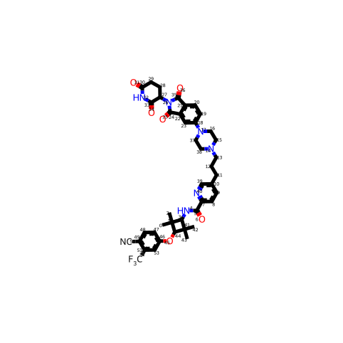 CC1(C)C(NC(=O)c2ccc(CCCN3CCN(c4ccc5c(c4)C(=O)N(C4CCC(=O)NC4=O)C5=O)CC3)cn2)C(C)(C)C1Oc1ccc(C#N)c(C(F)(F)F)c1